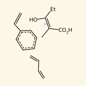 C=CC=C.C=Cc1ccccc1.CC/C(O)=C(/C)C(=O)O